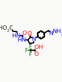 NN=Cc1ccc(N2CCC(NC(=O)NCCC(=O)O)C2=O)cc1.O=C(O)C(F)(F)F